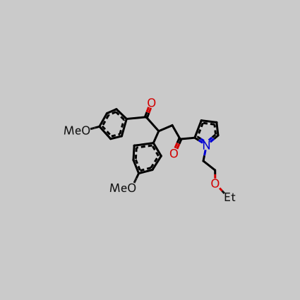 CCOCCn1cccc1C(=O)CC(C(=O)c1ccc(OC)cc1)c1ccc(OC)cc1